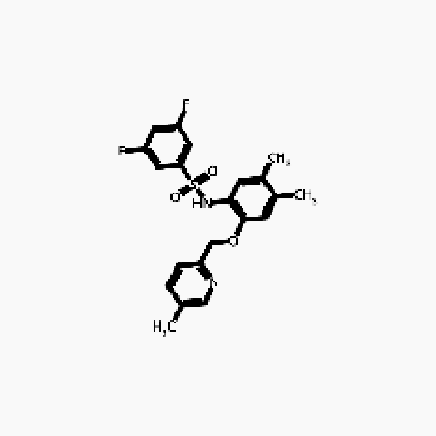 Cc1ccc(COc2cc(C)c(C)cc2NS(=O)(=O)c2cc(F)cc(F)c2)nc1